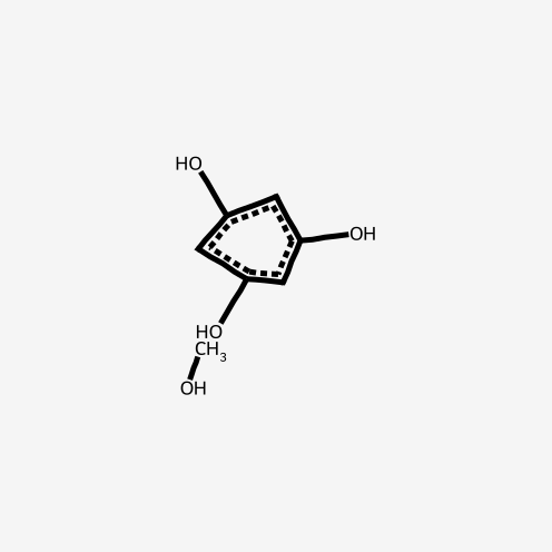 CO.Oc1cc(O)cc(O)c1